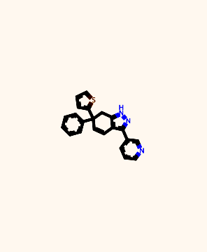 C1=CC(c2ccccc2)(c2cccs2)Cc2[nH]nc(-c3cccnc3)c21